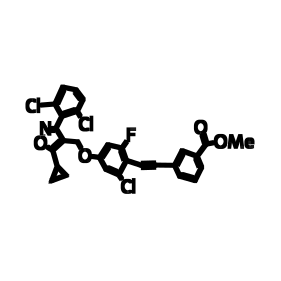 COC(=O)c1cccc(C#Cc2c(F)cc(OCc3c(-c4c(Cl)cccc4Cl)noc3C3CC3)cc2Cl)c1